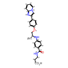 CC(C)[C@@H](COc1ccc(-c2cn3ccccc3n2)cc1)Nc1ccc(C(=O)NCCC(=O)O)cc1